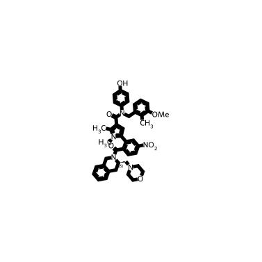 COc1cccc(CN(C(=O)c2cc(-c3cc([N+](=O)[O-])ccc3C(=O)N3Cc4ccccc4C[C@H]3CN3CCOCC3)n(C)c2C)c2ccc(O)cc2)c1C